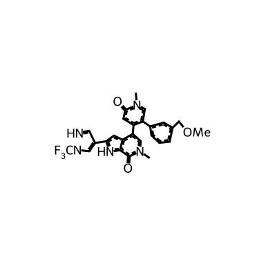 COCc1cccc(-c2cn(C)c(=O)cc2-c2cn(C)c(=O)c3[nH]c(/C(C=N)=C/NC(F)(F)F)cc23)c1